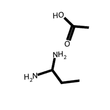 CC(=O)O.CCC(N)N